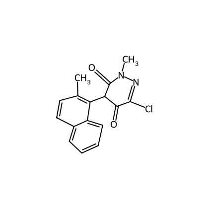 Cc1ccc2ccccc2c1C1C(=O)C(Cl)=NN(C)C1=O